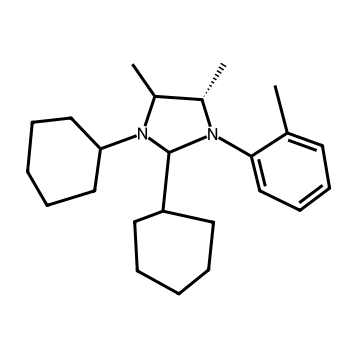 Cc1ccccc1N1C(C2CCCCC2)N(C2CCCCC2)C(C)[C@@H]1C